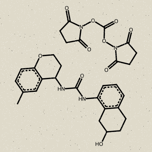 Cc1ccc2c(c1)C(NC(=O)Nc1cccc3c1CC(O)CC3)CCO2.O=C(ON1C(=O)CCC1=O)ON1C(=O)CCC1=O